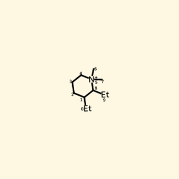 CCC1CCC[N+](C)(C)C1CC